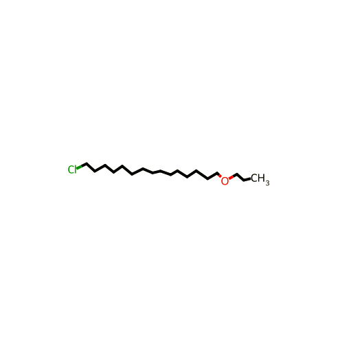 CCCOCCCCCCCCCCCCCCCCl